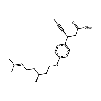 CC#C[C@@H](CC(=O)OC)c1ccc(OCC[C@@H](C)CCC=C(C)C)cc1